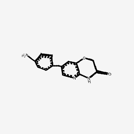 Nc1ccc(-c2cnc3c(c2)OCC(=O)N3)cc1